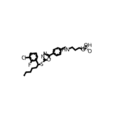 CCCCCC(Sc1nnc(-c2ccc(CNCCCO[PH](=O)O)cc2)o1)c1cccc(Cl)c1F